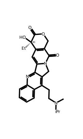 CC[C@]1(O)C(=O)OCc2c1cc1n(c2=O)Cc2c-1nc1ccccc1c2CCN(C)C(C)C